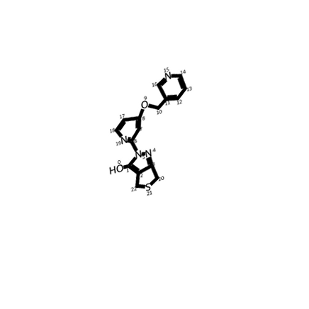 Oc1c2c(nn1-c1cc(OCc3cccnc3)ccn1)CSC2